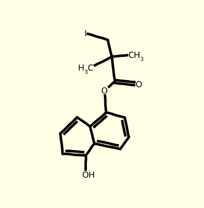 CC(C)(CI)C(=O)Oc1cccc2c(O)cccc12